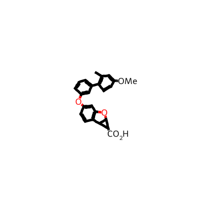 COc1ccc(-c2cccc(Oc3ccc4c(c3)OC3C(C(=O)O)C43)c2)c(C)c1